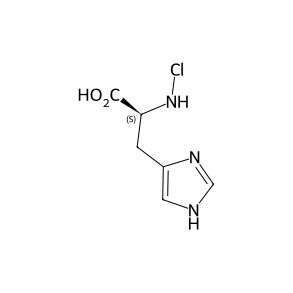 O=C(O)[C@H](Cc1c[nH]cn1)NCl